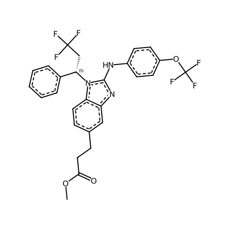 COC(=O)CCc1ccc2c(c1)nc(Nc1ccc(OC(F)(F)F)cc1)n2[C@@H](CC(F)(F)F)c1ccccc1